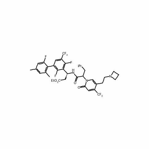 CCOC(=O)C[C@H](NC(=O)C(CC(C)C)n1cc(CCN2CCC2)c(C(F)(F)F)cc1=O)c1c(F)c(-c2c(C)cc(C)cc2F)cc(C(F)(F)F)c1F